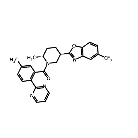 Cc1ccc(-c2ncccn2)c(C(=O)N2C[C@H](c3nc4cc(C(F)(F)F)ccc4o3)CC[C@H]2C)c1